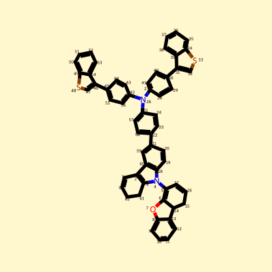 C1=Cc2c(n(C3=C4Oc5ccccc5C4CC=C3)c3ccc(-c4ccc(N(c5ccc(-c6csc7ccccc67)cc5)c5ccc(-c6csc7ccccc67)cc5)cc4)cc23)CC1